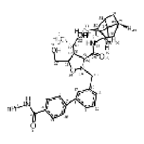 CCCNC(=O)c1ccc(-c2cccc(CN3OC(CO)[C@@H]([C@H](C)O)[C@H]3C(=O)N[C@H]3C[C@H]4CC(C3C)C4(C)C)c2)cc1